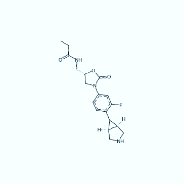 CCC(=O)NC[C@H]1CN(c2ccc(C3[C@H]4CNC[C@@H]34)c(F)c2)C(=O)O1